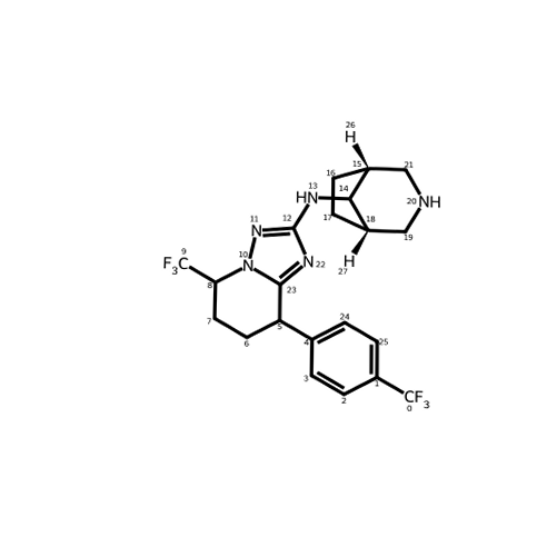 FC(F)(F)c1ccc(C2CCC(C(F)(F)F)n3nc(NC4[C@@H]5CC[C@H]4CNC5)nc32)cc1